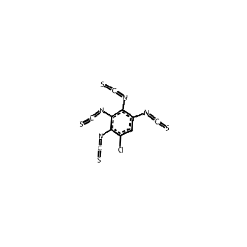 S=C=Nc1cc(Cl)c(N=C=S)c(N=C=S)c1N=C=S